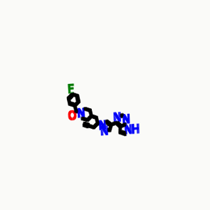 C#CCC(CC1CCN(C(=O)c2ccc(F)cc2)CC1)n1cc(-c2ncnc3[nH]ccc23)cn1